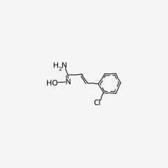 NC(C=Cc1ccccc1Cl)=NO